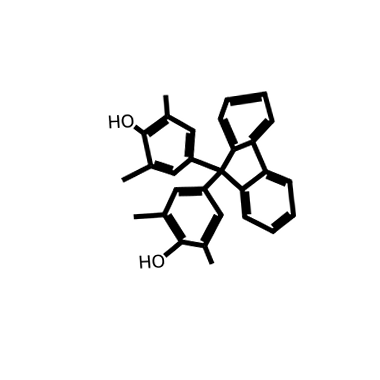 Cc1cc(C2(c3cc(C)c(O)c(C)c3)c3ccccc3-c3ccccc32)cc(C)c1O